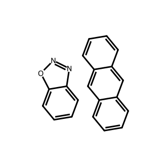 c1ccc2cc3ccccc3cc2c1.c1ccc2onnc2c1